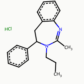 CCCN1C(C)=Nc2ccccc2CC1c1ccccc1.Cl